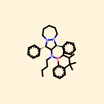 CCCCN(C1[C@H](c2ccccc2)N2CCCCCN2[C@H]1c1ccccc1)P1c2ccccc2C(C)(C)C(C)C1C